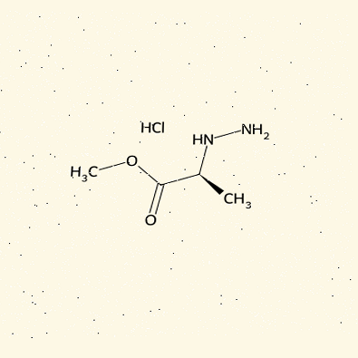 COC(=O)[C@H](C)NN.Cl